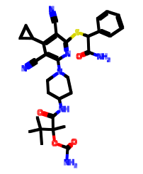 CC(C)(C)C(C)(OC(N)=O)C(=O)NC1CCN(c2nc(SC(C(N)=O)c3ccccc3)c(C#N)c(C3CC3)c2C#N)CC1